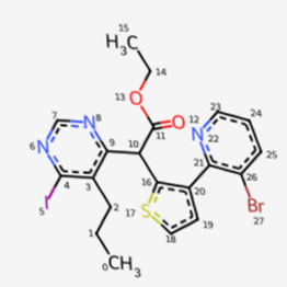 CCCc1c(I)ncnc1C(C(=O)OCC)c1sccc1-c1ncccc1Br